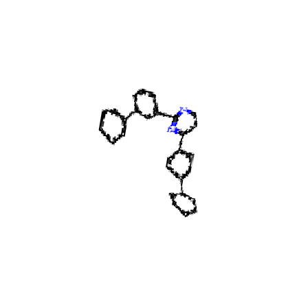 c1ccc(-c2ccc(-c3ccnc(-c4cccc(-c5ccccc5)c4)n3)cc2)cc1